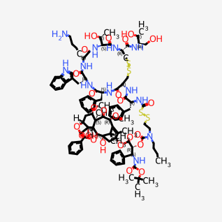 CCCCN(CCSSC(=O)N[C@H](Cc1ccccc1)C(=O)N[C@H]1CSSC[C@@H](C(=O)N[C@H](CO)[C@@H](C)O)NC(=O)[C@H]([C@@H](C)O)NC(=O)[C@H](CCCCN)NC(=O)[C@@H](Cc2c[nH]c3ccccc23)NC(=O)[C@H](Cc2ccccc2)NC1=O)C(=O)O[C@@H](C(=O)O[C@H]1C[C@@]2(O)[C@@H](OC(=O)c3ccccc3)[C@@H]3[C@]4(O)CO[C@@H]4C[C@H](OC)[C@@]3(C)C(=O)[C@H](OC)C(=C1C)C2(C)C)[C@@H](NC(=O)OC(C)(C)C)c1ccccc1